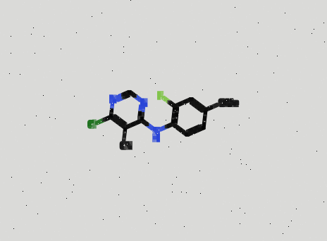 COc1ccc(Nc2ncnc(Cl)c2C#N)c(F)c1